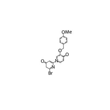 COc1ccc(COc2cn(C3=CC(=O)CC(Br)=N3)ccc2=O)cc1